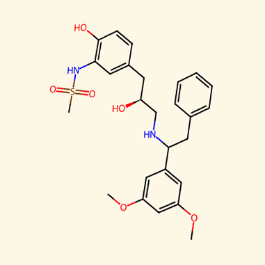 COc1cc(OC)cc(C(Cc2ccccc2)NC[C@@H](O)Cc2ccc(O)c(NS(C)(=O)=O)c2)c1